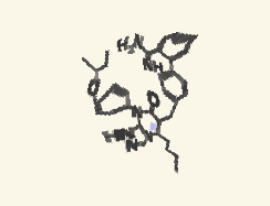 CCCC/C(C)=C(\Cc1ccc(-c2ccccc2C(=N)N)cc1)C(=O)N(c1ccc(OC(C)CC)cc1)c1ncn[nH]1